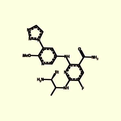 CC[C@H](N)C(C)Nc1nc(Nc2cnc(OC)c(-n3ccnn3)c2)c(C(N)=O)cc1F